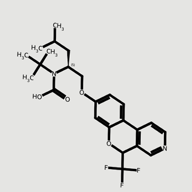 CC(C)C[C@@H](COc1ccc2c(c1)OC(C(F)(F)F)c1cnccc1-2)N(C(=O)O)C(C)(C)C